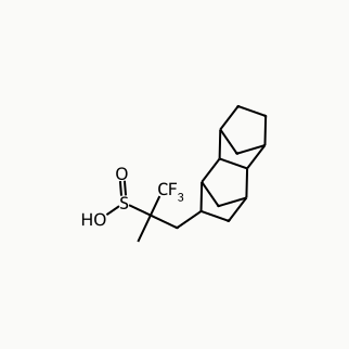 CC(CC1CC2CC1C1C3CCC(C3)C21)(S(=O)O)C(F)(F)F